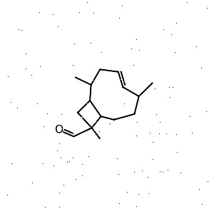 CC1/C=C/CC(C)C2CC(C)(C=O)C2CC1